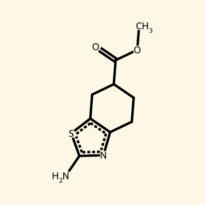 COC(=O)C1CCc2nc(N)sc2C1